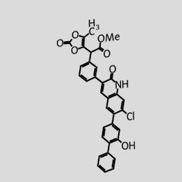 COC(=O)C(c1cccc(-c2cc3cc(-c4ccc(-c5ccccc5)c(O)c4)c(Cl)cc3[nH]c2=O)c1)c1oc(=O)oc1C